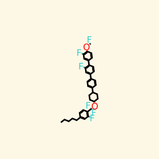 CCCCCc1ccc(C(F)(F)OC2CCC(c3ccc(-c4ccc(-c5ccc(OCF)c(F)c5)c(F)c4)cc3)CC2)c(F)c1